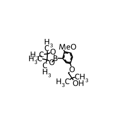 COc1ccc(OCC(C)(C)O)cc1B1OC(C)(C)C(C)(C)O1